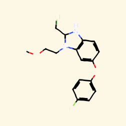 COCCN1c2cc(Oc3ccc(F)cc3)ccc2NC1CCl